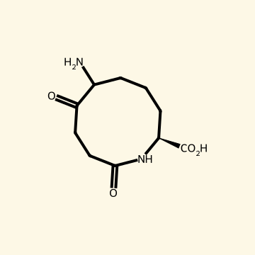 NC1CCC[C@@H](C(=O)O)NC(=O)CCC1=O